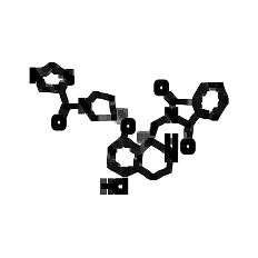 Cl.O=C(c1cncs1)N1CC[C@H](Oc2cccc3c2[C@@H](CN2C(=O)c4ccccc4C2=O)NCC3)C1